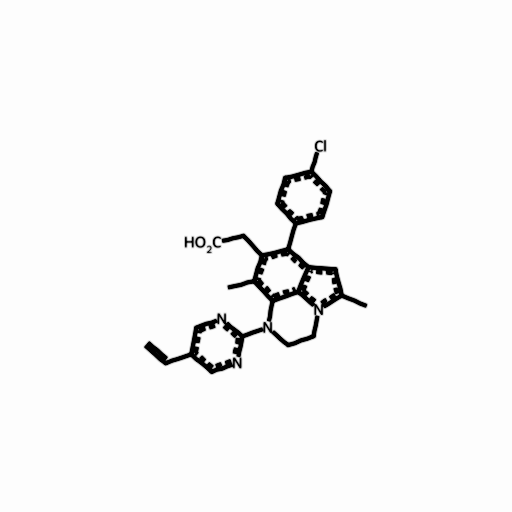 C=Cc1cnc(N2CCn3c(C)cc4c(-c5ccc(Cl)cc5)c(CC(=O)O)c(C)c2c43)nc1